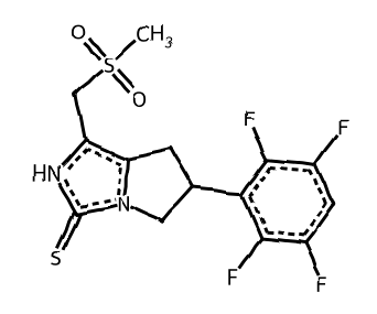 CS(=O)(=O)Cc1[nH]c(=S)n2c1CC(c1c(F)c(F)cc(F)c1F)C2